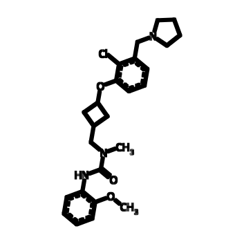 COc1ccccc1NC(=O)N(C)CC1CC(Oc2cccc(CN3CCCC3)c2Cl)C1